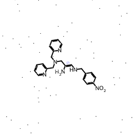 N/C(=C\NCc1ccc([N+](=O)[O-])cc1)CN(Cc1ccccn1)Cc1ccccn1